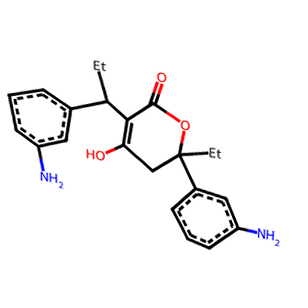 CCC(C1=C(O)CC(CC)(c2cccc(N)c2)OC1=O)c1cccc(N)c1